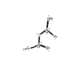 CCC[SiH](S)O[SiH](S)CCC